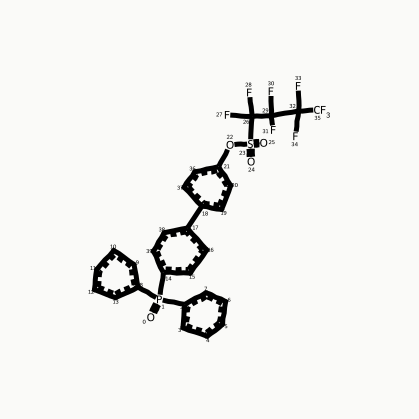 O=P(c1ccccc1)(c1ccccc1)c1ccc(-c2ccc(OS(=O)(=O)C(F)(F)C(F)(F)C(F)(F)C(F)(F)F)cc2)cc1